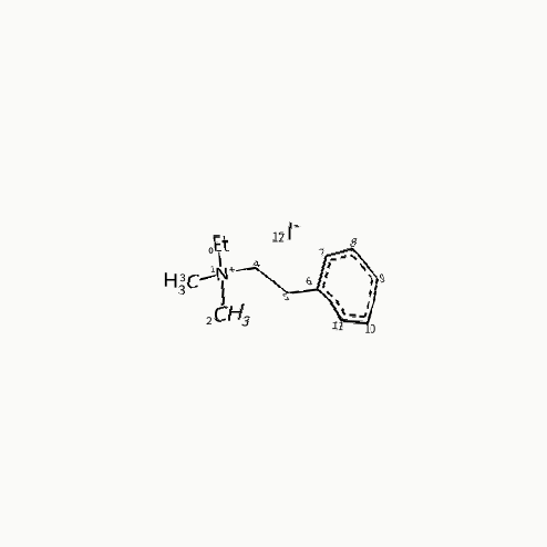 CC[N+](C)(C)CCc1ccccc1.[I-]